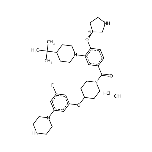 CC(C)(C)C1CCN(c2cc(C(=O)N3CCC(Oc4cc(F)cc(N5CCNCC5)c4)CC3)ccc2O[C@H]2CCNC2)CC1.Cl.Cl